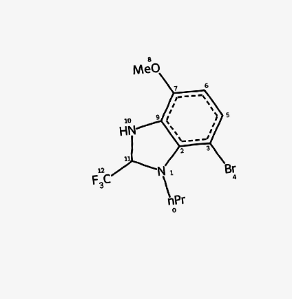 CCCN1c2c(Br)ccc(OC)c2NC1C(F)(F)F